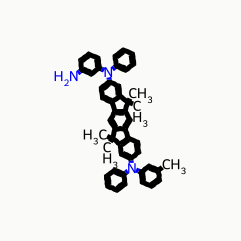 Cc1cccc(N(c2ccccc2)c2ccc3c(c2)C(C)(C)c2cc4c(cc2-3)C(C)(C)c2cc(N(c3ccccc3)c3cccc(N)c3)ccc2-4)c1